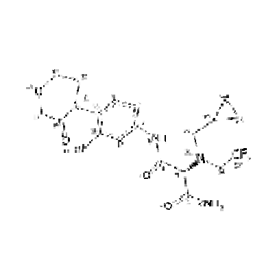 NC(=O)[C@@H](C(=O)Nc1ccc(N2CCOCC2=O)c(F)c1)N(CC1CC1)CC(F)(F)F